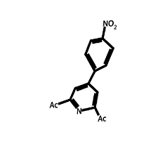 CC(=O)c1cc(-c2ccc([N+](=O)[O-])cc2)cc(C(C)=O)n1